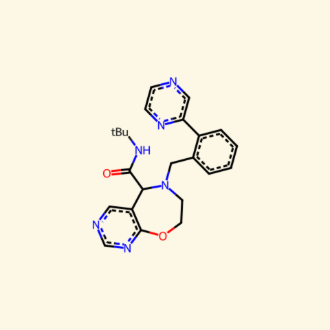 CC(C)(C)NC(=O)C1c2cncnc2OCCN1Cc1ccccc1-c1cnccn1